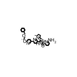 CC1CC[C@H](C)N1c1nc(-c2ccc(O[C@H](C)COCc3ccccc3)nc2)ccc1C(=O)NS(=O)(=O)c1cccc(N)n1